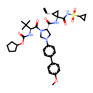 C=C[C@@H]1C[C@]1(NC(=O)[C@@H]1CN(c2ccc(-c3ccc(OC)cc3)cc2)CN1C(=O)[C@@H](NC(=O)OC1CCCC1)C(C)(C)C)C(=O)NS(=O)(=O)C1CC1